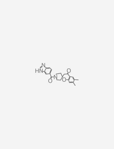 Cc1cc2c(cc1C)C(=O)CC1(CCN(C(=O)c3ccc4nc[nH]c4c3)CC1)O2